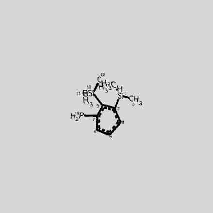 C[SiH](C)c1cccc(P)c1[SiH](C)C